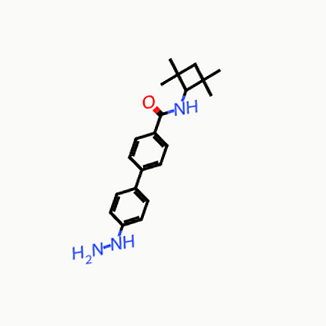 CC1(C)CC(C)(C)C1NC(=O)c1ccc(-c2ccc(NN)cc2)cc1